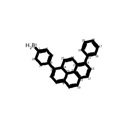 BC1=CC=C(C2=CC=C3C=Cc4ccc(-c5ccccc5)c5c4C3C2C=C5)CC1